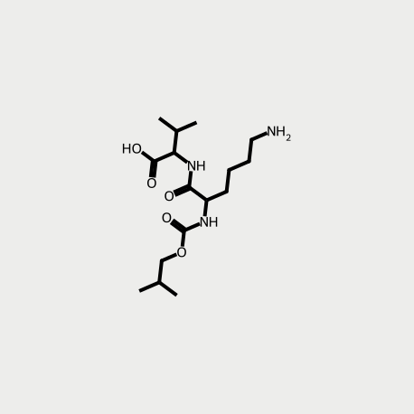 CC(C)COC(=O)NC(CCCCN)C(=O)NC(C(=O)O)C(C)C